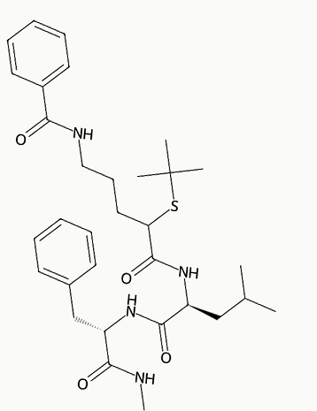 CNC(=O)[C@H](Cc1ccccc1)NC(=O)[C@H](CC(C)C)NC(=O)C(CCCNC(=O)c1ccccc1)SC(C)(C)C